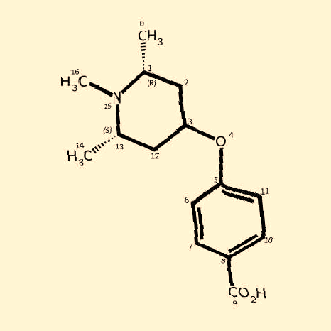 C[C@@H]1CC(Oc2ccc(C(=O)O)cc2)C[C@H](C)N1C